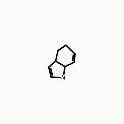 C1=CC2[N]C=CC2CC1